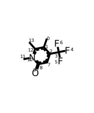 Cc1c(C(F)(F)F)cc(=O)n(C)c1C